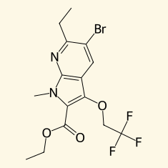 CCOC(=O)c1c(OCC(F)(F)F)c2cc(Br)c(CC)nc2n1C